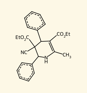 CCOC(=O)C1=C(C)NC(c2ccccc2)C(C#N)(C(=O)OCC)C1c1ccccc1